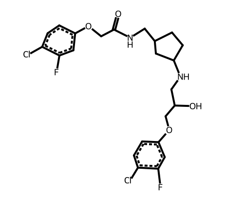 O=C(COc1ccc(Cl)c(F)c1)NCC1CCC(NCC(O)COc2ccc(Cl)c(F)c2)C1